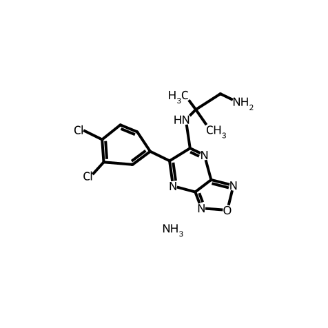 CC(C)(CN)Nc1nc2nonc2nc1-c1ccc(Cl)c(Cl)c1.N